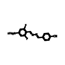 CCCCCCCc1cc(F)c(C=NN=Cc2ccc(C#N)cc2)c(F)c1